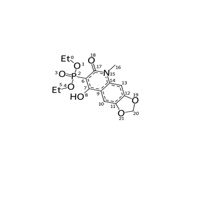 CCOP(=O)(OCC)c1c(O)c2cc3c(cc2n(C)c1=O)OCO3